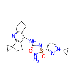 NS(=O)(=NC(=O)Nc1c2c(nc3c1CCC31CC1)CCC2)c1ccn(C2CC2)n1